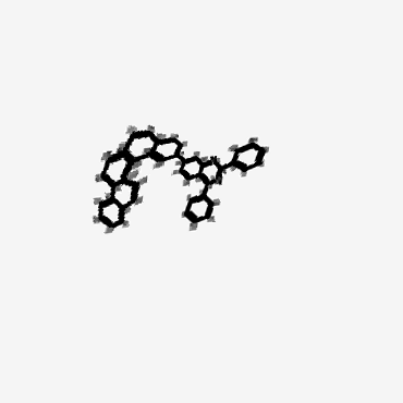 c1ccc(-c2nc(-c3ccccc3)c3ccc(-c4ccc5ccc6ccc7c8ccccc8ccc7c6c5c4)cc3n2)cc1